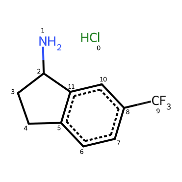 Cl.NC1CCc2ccc(C(F)(F)F)cc21